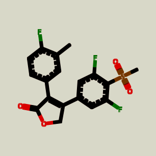 Cc1cc(C2=C(c3cc(F)c(S(C)(=O)=O)c(F)c3)COC2=O)ccc1F